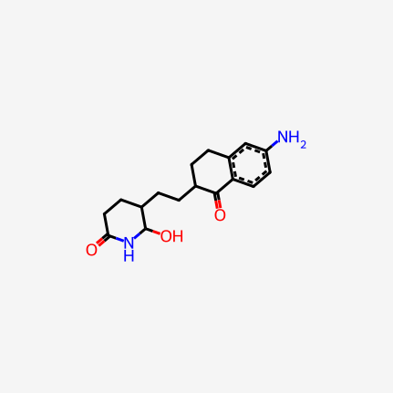 Nc1ccc2c(c1)CCC(CCC1CCC(=O)NC1O)C2=O